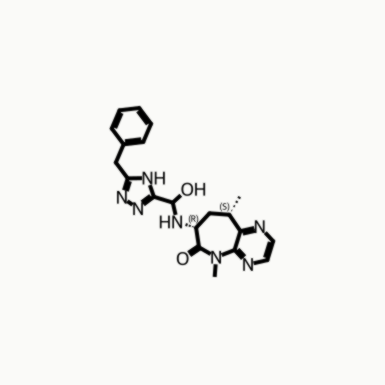 C[C@H]1C[C@@H](NC(O)c2nnc(Cc3ccccc3)[nH]2)C(=O)N(C)c2nccnc21